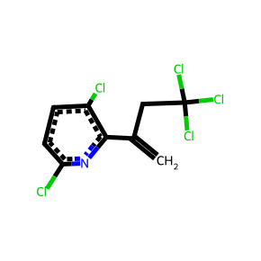 C=C(CC(Cl)(Cl)Cl)c1nc(Cl)ccc1Cl